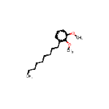 CCCCCCCCCc1cccc(OC)c1OC